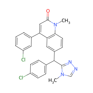 Cn1cnnc1C(c1ccc(Cl)cc1)c1ccc2c(c1)c(-c1cccc(Cl)c1)cc(=O)n2C